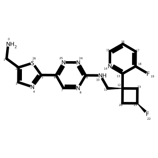 NCc1cnc(-c2cnc(NC[C@]3(c4ncccc4F)C[C@H](F)C3)nn2)s1